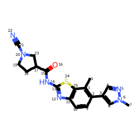 Cc1c(-c2cnn(C)c2)ccc2nc(NC(=O)C3CCN(C#N)C3)sc12